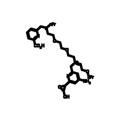 CCCOC/C=[N+](/CCOCCOCCN(CCC)Cc1cccc(C(=O)O)n1)Cc1cc(N)cc(C2OC2O)n1